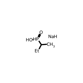 CCC(C)[PH](=O)O.[NaH]